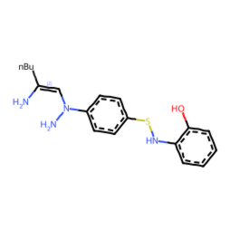 CCCC/C(N)=C/N(N)c1ccc(SNc2ccccc2O)cc1